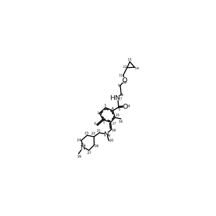 C=c1ccc(C(=O)NCCOCC2CC2)c(C)/c1=C/N(C)CC1CCN(C)CC1